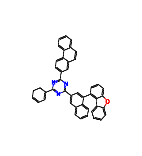 C1=CCCC(c2nc(-c3cc(-c4cccc5oc6ccccc6c45)c4ccccc4c3)nc(-c3ccc4c(ccc5ccccc54)c3)n2)=C1